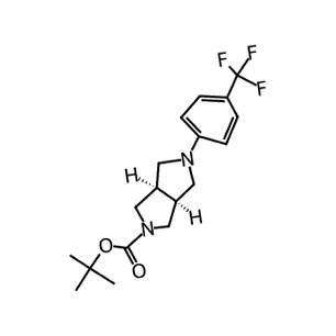 CC(C)(C)OC(=O)N1C[C@@H]2CN(c3ccc(C(F)(F)F)cc3)C[C@@H]2C1